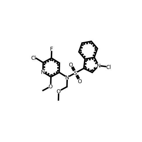 COCN(c1cc(F)c(Cl)nc1OC)S(=O)(=O)c1cn(Cl)c2ccccc12